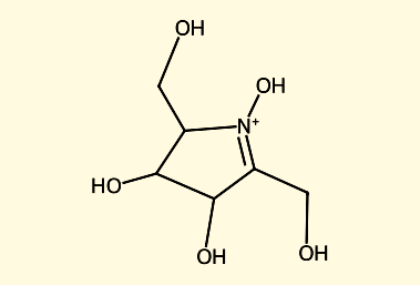 OCC1=[N+](O)C(CO)C(O)C1O